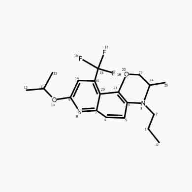 CCCN1c2ccc3nc(OC(C)C)cc(C(F)(F)F)c3c2OCC1C